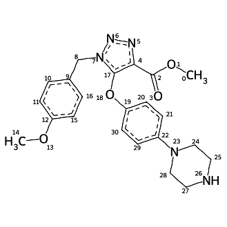 COC(=O)c1nnn(Cc2ccc(OC)cc2)c1Oc1ccc(N2CCNCC2)cc1